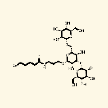 CC(=O)CCCCC(=O)NCCCO[C@@H]1O[C@H](CO[C@H]2O[C@H](CO)[C@@H](O)[C@H](O)[C@@H]2O)[C@@H](O)[C@H](O[C@H]2O[C@H](CO)[C@@H](O)[C@H](O)[C@@H]2O)[C@@H]1O